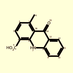 Cc1ccc(C(=O)O)c2[nH]c3ccccc3c(=O)c12